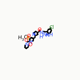 CS(=O)(=O)c1cc(Cc2cc(C(=O)NCc3n[nH]c4ccc(Cl)cc34)ccn2)cnc1Cn1ccccc1=O